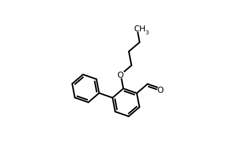 CCCCOc1c(C=O)cccc1-c1ccccc1